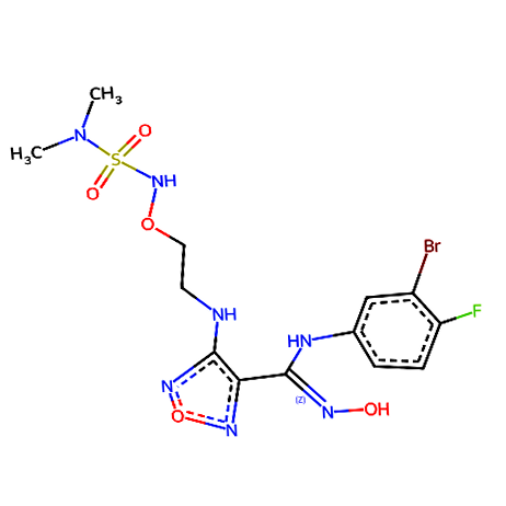 CN(C)S(=O)(=O)NOCCNc1nonc1/C(=N/O)Nc1ccc(F)c(Br)c1